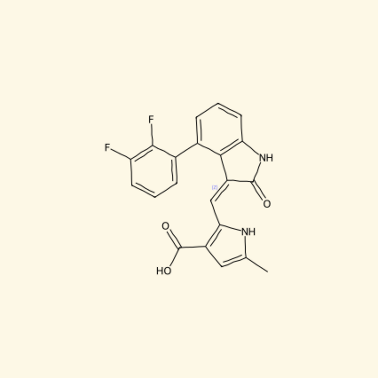 Cc1cc(C(=O)O)c(/C=C2\C(=O)Nc3cccc(-c4cccc(F)c4F)c32)[nH]1